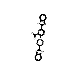 CC(=O)c1nc(-c2nc3ccccc3[nH]2)ccc1N1CCC(c2nc3ccccc3[nH]2)CC1